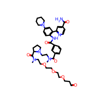 CN(CCN1CCCC1C(=O)N(C)CCOCCOCCOCCC=O)C(=O)c1cccc(C(=O)Nc2ccc(N3CCCCC3)cc2-c2cc(C(N)=O)ccn2)c1